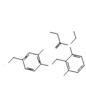 CCC(=O)N(CC)c1cccc(C)c1COc1ccc(CC)cc1C